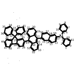 c1ccc(N(c2ccccc2)c2ccc3cc(-c4c5ccccc5c(-c5ccc6c(c5)C(c5ccccc5)(c5ccccc5)c5ccccc5-6)c5ccccc45)ccc3c2)cc1